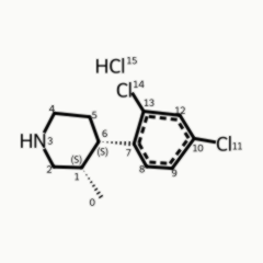 C[C@@H]1CNCC[C@@H]1c1ccc(Cl)cc1Cl.Cl